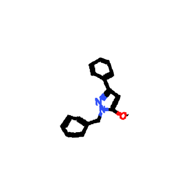 [O]c1cc(-c2ccccc2)nn1Cc1ccccc1